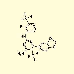 Nc1nc(Nc2cccc(C(F)(F)F)c2F)nc(-c2ccc3c(c2)OCO3)c1C(F)(F)F